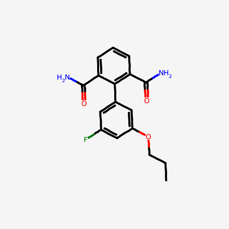 CCCOc1cc(F)cc(-c2c(C(N)=O)cccc2C(N)=O)c1